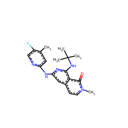 Cc1cc(Nc2cc3ccn(C)c(=O)c3c(NC(C)(C)C)n2)ncc1F